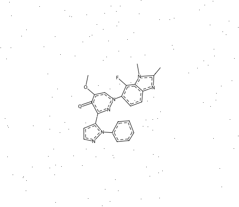 COc1cn(-c2ccc3nc(C)n(C)c3c2F)nc(-c2ccnn2-c2ccccc2)c1=O